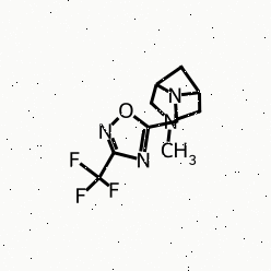 CN1CC2CC(C1)N2Cc1nc(C(F)(F)F)no1